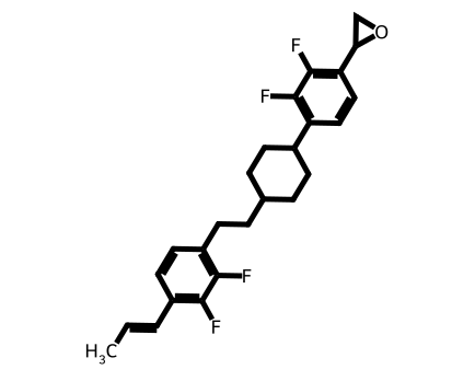 C/C=C/c1ccc(CCC2CCC(c3ccc(C4CO4)c(F)c3F)CC2)c(F)c1F